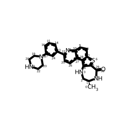 C[C@@H]1CNc2c(sc3ccc4nc(-c5cccc(N6CCNCC6)c5)ccc4c23)C(=O)N1